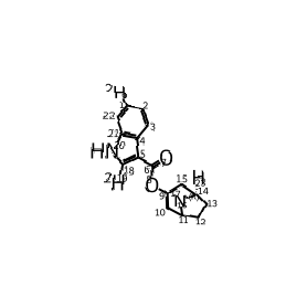 [2H]c1ccc2c(C(=O)OC3CC4CC[C@H](C3)N4C)c([2H])[nH]c2c1